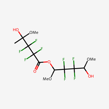 COC(O)C(F)(F)C(F)(F)C(OC)OC(=O)C(F)(F)C(F)(F)C(C)(O)OC